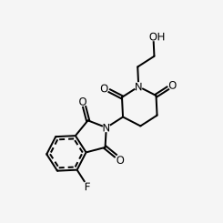 O=C1CCC(N2C(=O)c3cccc(F)c3C2=O)C(=O)N1CCO